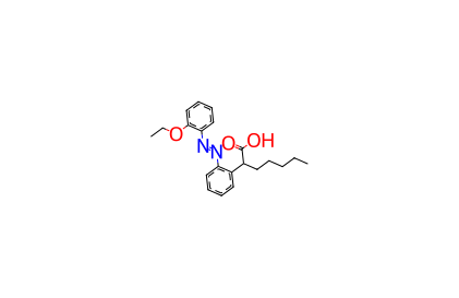 CCCCCC(C(=O)O)c1ccccc1N=Nc1ccccc1OCC